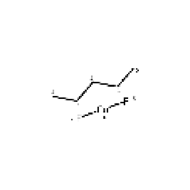 CCCCC.[F][Cu][F]